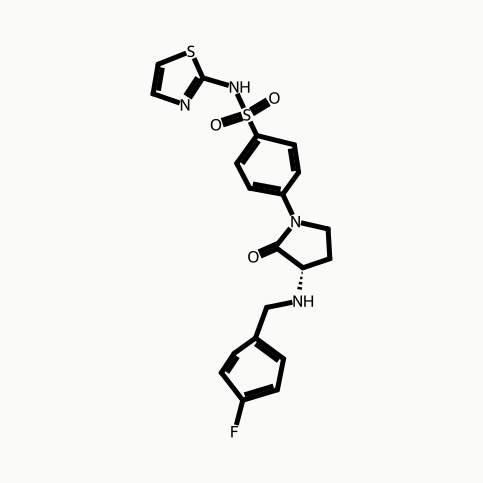 O=C1[C@@H](NCc2ccc(F)cc2)CCN1c1ccc(S(=O)(=O)Nc2nccs2)cc1